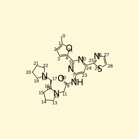 Cc1ccc(-c2nc(NC(=O)CN3CCC[C@H]3CN3CCCC3)cc(-c3nccs3)n2)o1